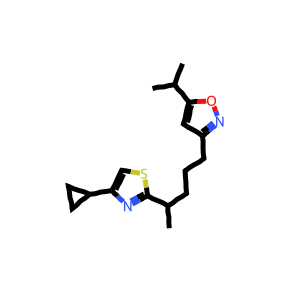 CC(C)c1cc(CCCC(C)c2nc(C3CC3)cs2)no1